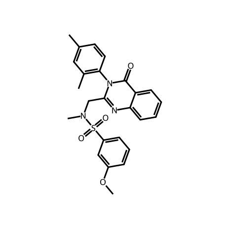 COc1cccc(S(=O)(=O)N(C)Cc2nc3ccccc3c(=O)n2-c2ccc(C)cc2C)c1